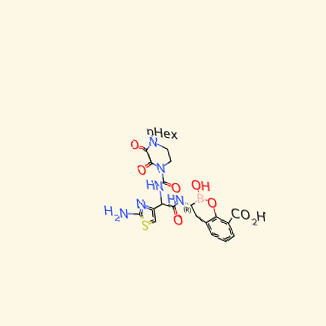 CCCCCCN1CCN(C(=O)NC(C(=O)N[C@H]2Cc3cccc(C(=O)O)c3OB2O)c2csc(N)n2)C(=O)C1=O